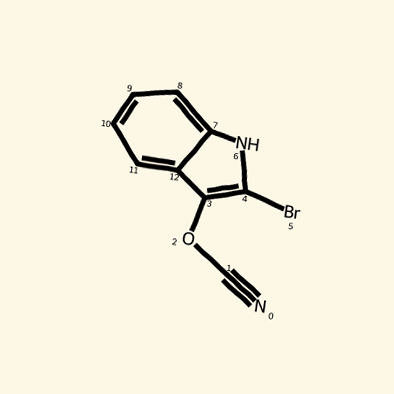 N#COc1c(Br)[nH]c2ccccc12